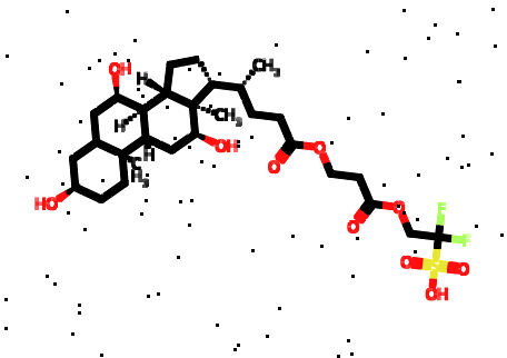 C[C@H](CCC(=O)OCCC(=O)OCC(F)(F)S(=O)(=O)O)[C@H]1CC[C@H]2[C@@H]3[C@H](O)CC4C[C@H](O)CC[C@]4(C)[C@H]3C[C@H](O)[C@]12C